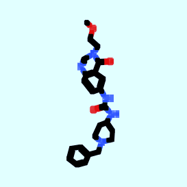 COCCn1cnc2ccc(NC(=O)NC3CCN(Cc4ccccc4)CC3)cc2c1=O